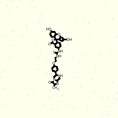 Cc1nc2c[nH]c(-c3ccc(OCCNC(=S)Nc4ccc5c(c4)C(=O)OC54c5ccc(O)cc5Oc5cc(O)ccc54)cc3)cn-2c1=O